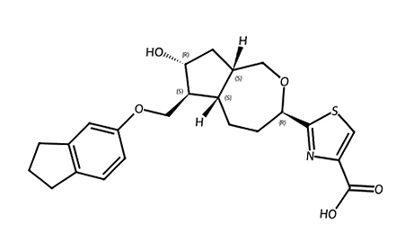 O=C(O)c1csc([C@H]2CC[C@H]3[C@@H](CO2)C[C@@H](O)[C@@H]3COc2ccc3c(c2)CCC3)n1